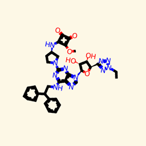 CCn1nnc([C@H]2O[C@@H](n3cnc4c(NCC(c5ccccc5)c5ccccc5)nc(N5CC[C@@H](Nc6c(OC)c(=O)c6=O)C5)nc43)[C@H](O)[C@@H]2O)n1